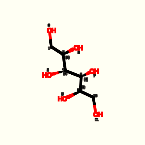 O[CH][C@@H](O)[C@@H](O)[C@H](O)[C@H](O)CO